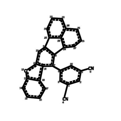 N#Cc1cc(C#N)cc(-c2c3c(cc4oc5ccccc5c24)-c2cccc4cccc-3c24)c1